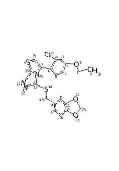 CCOc1ccc(-c2csc3nnc(SCc4ccc5c(c4)OCO5)n23)c(Cl)c1